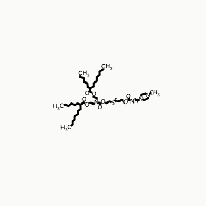 CCCCCCCCC(CCCCCC)C(=O)OCCN(CCOC(=O)C(CCCCCC)CCCCCCCC)C(=O)OCCSSCCOC(=O)NCCN1CCN(C)CC1